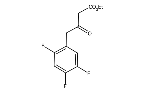 CCOC(=O)CC(=O)Cc1cc(F)c(F)cc1F